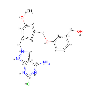 COc1cc(COc2cccc(CO)c2)cc(Cn2cc3c(N)nc(Cl)nc3n2)c1